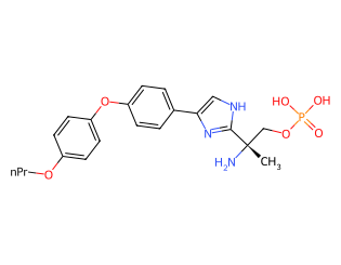 CCCOc1ccc(Oc2ccc(-c3c[nH]c([C@@](C)(N)COP(=O)(O)O)n3)cc2)cc1